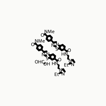 CCc1nccn1CCNC(=O)c1ccc2c(c1)sc1nc(-c3ccc(C(=O)NC)cc3)cn12.CCc1nccn1CCNC(=O)c1ccc2c(c1)sc1nc(-c3ccc(C(=O)NC)cc3)cn12.O=CO